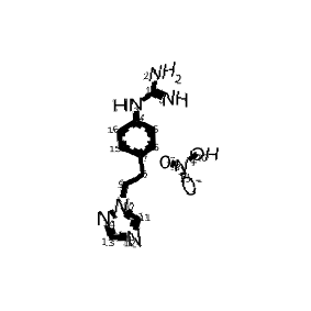 N=C(N)Nc1ccc(CCn2cncn2)cc1.O=[N+]([O-])O